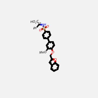 COc1cc(-c2ccc(S(=O)(=O)N[C@@H](C(=O)O)C(C)C)cc2)ccc1OCc1cc2ccccc2o1